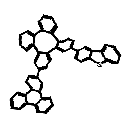 c1ccc2c(c1)-c1ccccc1-c1cc(-c3ccc4c5ccccc5c5ccccc5c4c3)ccc1-c1cc(-c3ccc4sc5ccccc5c4c3)ccc1-2